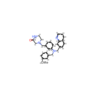 COc1cccc(CN(Cc2ccc3cccnc3c2)c2cccc(CN3CCNC(=O)C3)c2)c1